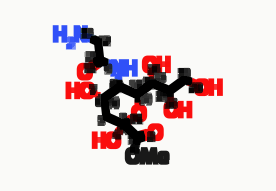 COC(=O)[C@]1(O)C[C@H](O)[C@@H](NC(=O)CN)[C@H]([C@H](O)[C@H](O)CO)O1